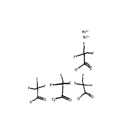 O=C([O-])C(F)(F)F.O=C([O-])C(F)(F)F.O=C([O-])C(F)(F)F.O=C([O-])C(F)(F)F.[Rh+2].[Rh+2]